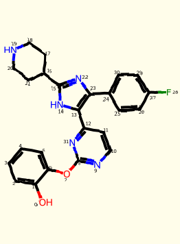 Oc1ccccc1Oc1nccc(-c2[nH]c(C3CCNCC3)nc2-c2ccc(F)cc2)n1